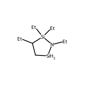 CCC1C[SiH2]N(CC)[Si]1(CC)CC